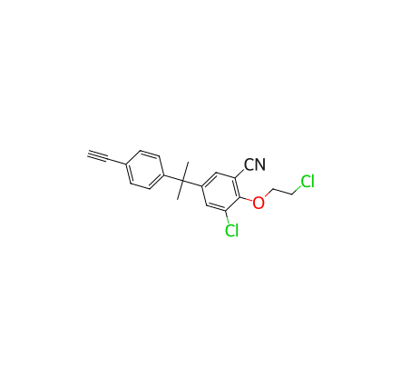 C#Cc1ccc(C(C)(C)c2cc(Cl)c(OCCCl)c(C#N)c2)cc1